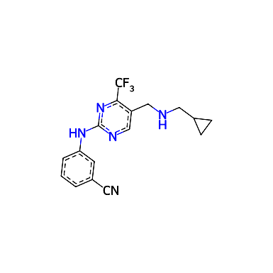 N#Cc1cccc(Nc2ncc(CNCC3CC3)c(C(F)(F)F)n2)c1